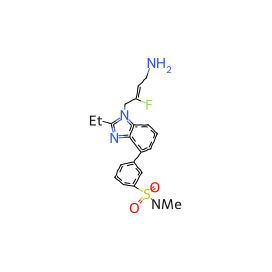 CCc1nc2c(-c3cccc(S(=O)(=O)NC)c3)cccc2n1CC(F)=CCN